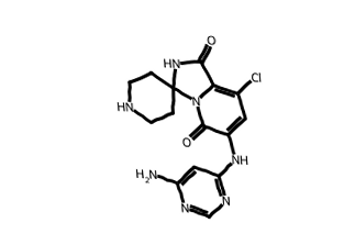 Nc1cc(Nc2cc(Cl)c3n(c2=O)C2(CCNCC2)NC3=O)ncn1